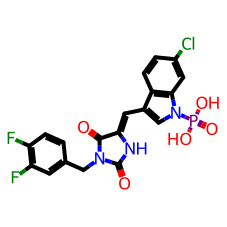 O=C1NC(=Cc2cn(P(=O)(O)O)c3cc(Cl)ccc23)C(=O)N1Cc1ccc(F)c(F)c1